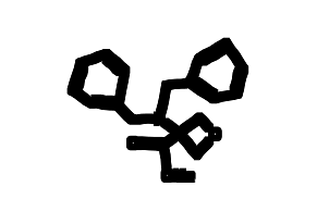 COC(=O)C1(N(Cc2ccccc2)Cc2ccccc2)COC1